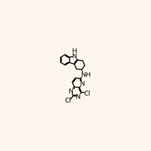 Clc1nc(Cl)c2nc(N[C@@H]3CCc4[nH]c5ccccc5c4C3)ccc2n1